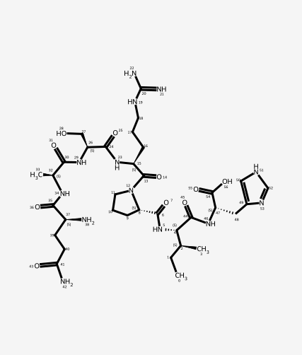 CC[C@H](C)[C@H](NC(=O)[C@@H]1CCCN1C(=O)[C@H](CCCNC(=N)N)NC(=O)[C@H](CO)NC(=O)[C@H](C)NC(=O)[C@@H](N)CCC(N)=O)C(=O)N[C@@H](Cc1c[nH]cn1)C(=O)O